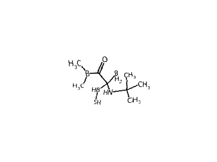 BC(BS)(NC(C)(C)C)C(=O)B(C)C